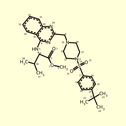 COC(=O)[C@@H](Nc1nc(CN2CCN(S(=O)(=O)c3ccc(C(C)(C)C)cc3)CC2)nc2ccccc12)C(C)C